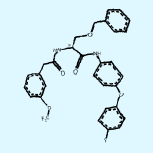 O=C(Cc1cccc(OC(F)(F)F)c1)N[C@@H](COCc1ccccc1)C(=O)Nc1ccc(Oc2ccc(F)cc2)cc1